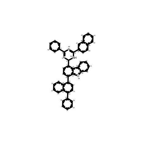 c1ccc(C2=NC(c3ccc(-c4ccc(-c5ccccc5)c5ccccc45)c4oc5ccccc5c34)NC(c3ccc4ccccc4c3)=N2)cc1